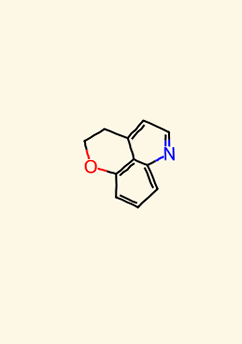 c1cc2c3c(ccnc3c1)CCO2